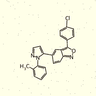 Cc1ccccc1-n1nccc1-c1ccc2noc(-c3ccc(Cl)cc3)c2c1